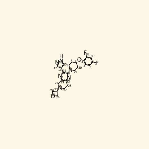 Fc1ccc(OC2CCN(c3nc4c(nc3-c3cn[nH]c3)CN(C3COC3)CC4)CC2)c(F)c1